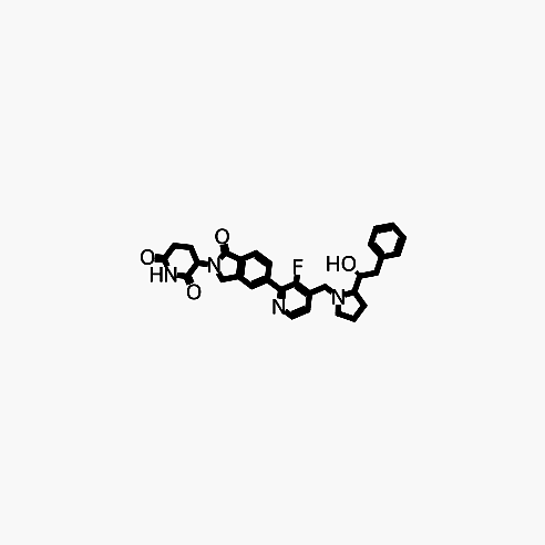 O=C1CCC(N2Cc3cc(-c4nccc(CN5CCCC5[C@@H](O)Cc5ccccc5)c4F)ccc3C2=O)C(=O)N1